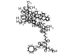 CC[C@H](C)[C@@H]([C@@H](CC(=O)N1CCC[C@H]1[C@H](OC)[C@@H](C)C(=O)NC(Cc1ccccc1)c1nccs1)OC)N(C)C(=O)CNC(=O)C(C(C)C)N(C)C(=O)OCc1ccc(NC(=O)CNC(=O)C(NC(=O)CSCCC(=O)N2CN(C(=O)CCSC)CN(C(=O)CCSC3CCCCCCCC3)C2)C(C)C)cc1